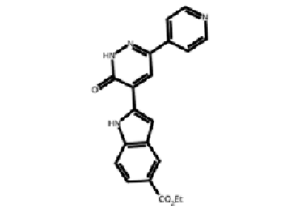 CCOC(=O)c1ccc2[nH]c(-c3cc(-c4ccncc4)n[nH]c3=O)cc2c1